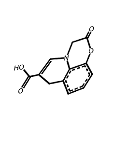 O=C1CN2C=C(C(=O)O)Cc3cccc(c32)O1